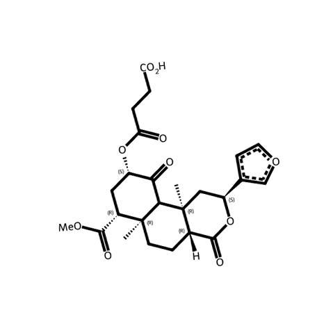 COC(=O)[C@@H]1C[C@H](OC(=O)CCC(=O)O)C(=O)C2[C@@]1(C)CC[C@H]1C(=O)O[C@H](c3ccoc3)C[C@]21C